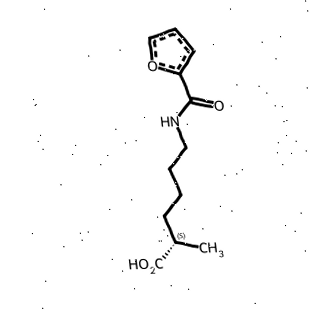 C[C@@H](CCCCNC(=O)c1ccco1)C(=O)O